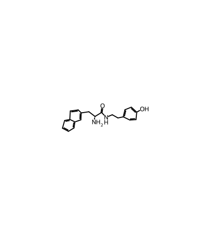 N[C@@H](Cc1ccc2ccccc2c1)C(=O)NCCc1ccc(O)cc1